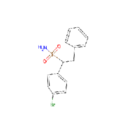 NS(=O)(=O)C(Cc1ccccc1)c1ccc(Br)cc1